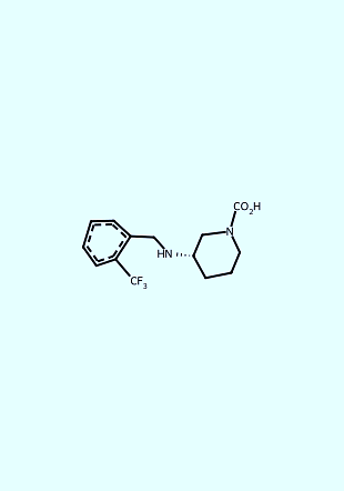 O=C(O)N1CCC[C@H](NCc2ccccc2C(F)(F)F)C1